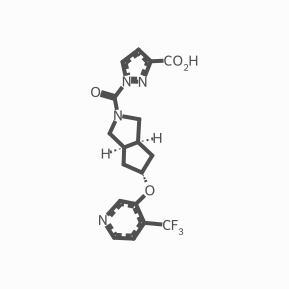 O=C(O)c1ccn(C(=O)N2C[C@H]3C[C@H](Oc4cnccc4C(F)(F)F)C[C@H]3C2)n1